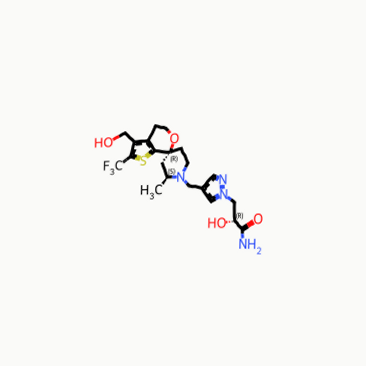 C[C@H]1C[C@@]2(CCN1Cc1cnn(C[C@@H](O)C(N)=O)c1)OCCc1c2sc(C(F)(F)F)c1CO